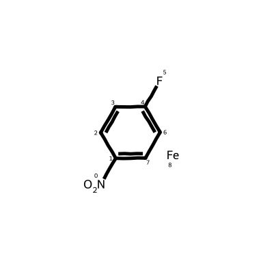 O=[N+]([O-])c1ccc(F)cc1.[Fe]